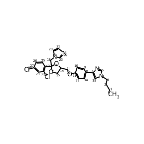 CCCCn1cnc(-c2ccc(OCC3COC(Cn4ccnc4)(c4ccc(Cl)cc4Cl)O3)cc2)c1